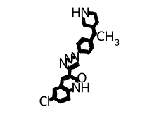 CC(c1ccc(-n2cc(-c3cc4cc(Cl)ccc4[nH]c3=O)nn2)cc1)C1CCNCC1